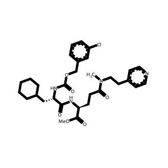 COC(=O)[C@H](CCC(=O)N(C)CCc1ccncc1)NC(=O)[C@H](CC1CCCCC1)NC(=O)OCc1cccc(Cl)c1